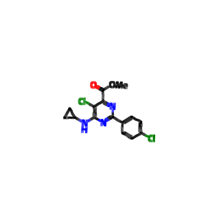 COC(=O)c1nc(-c2ccc(Cl)cc2)nc(NC2CC2)c1Cl